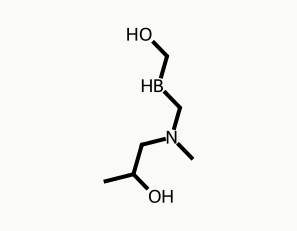 CC(O)CN(C)CBCO